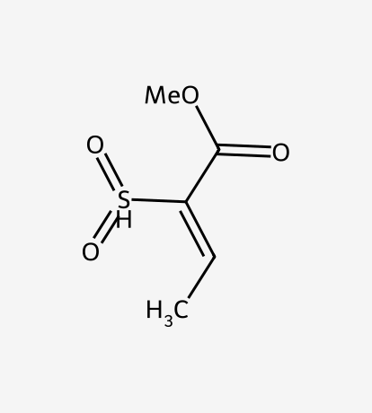 CC=C(C(=O)OC)[SH](=O)=O